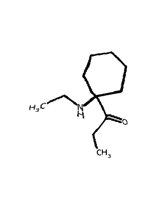 CCNC1(C(=O)CC)CCCCC1